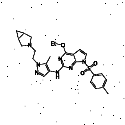 CCOc1nc(Nc2cnn(CCN3CC4CC4C3)c2C)nc2c1ccn2S(=O)(=O)c1ccc(C)cc1